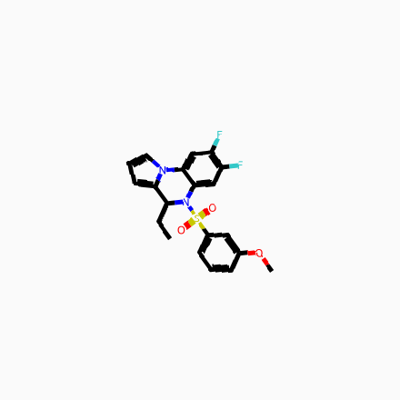 CCC1c2cccn2-c2cc(F)c(F)cc2N1S(=O)(=O)c1cccc(OC)c1